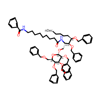 CCCCCCCCCCCCCC[C@@H](OCc1ccccc1)[C@@H](OCc1ccccc1)[C@H](CO[C@H]1O[C@H](COCc2ccccc2)[C@H](OCc2ccccc2)[C@H](OCc2ccccc2)[C@H]1OCc1ccccc1)NC(=O)CCCCCCCCNC(=O)c1ccccc1